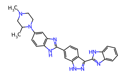 CC1CN(C)CCN1c1ccc2[nH]c(-c3ccc4c(-c5nc6ccccc6[nH]5)n[nH]c4c3)nc2c1